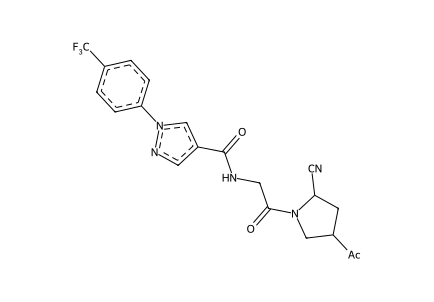 CC(=O)C1CC(C#N)N(C(=O)CNC(=O)c2cnn(-c3ccc(C(F)(F)F)cc3)c2)C1